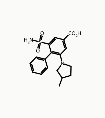 CC1CCN(c2cc(C(=O)O)cc(S(N)(=O)=O)c2-c2ccccc2)C1